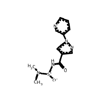 CN(C)[S+]([O-])NC(=O)c1cnn(-c2cccnc2)c1